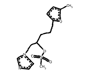 Cc1ccc(CCC(Cn2ccnc2)OS(C)(=O)=O)o1